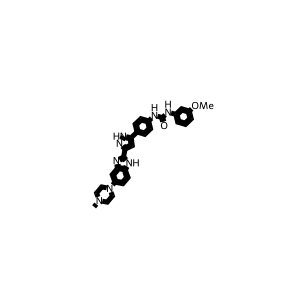 COc1cccc(NC(=O)Nc2ccc(-c3cc(-c4nc5cc(N6CCN(C)CC6)ccc5[nH]4)n[nH]3)cc2)c1